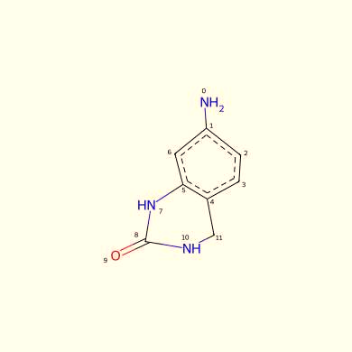 Nc1ccc2c(c1)NC(=O)NC2